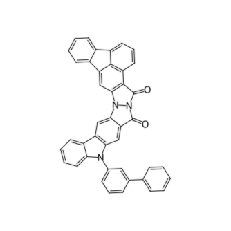 O=c1c2cc3c(cc2n2c4cc5c6c(cccc6c4c(=O)n12)-c1ccccc1-5)c1ccccc1n3-c1cccc(-c2ccccc2)c1